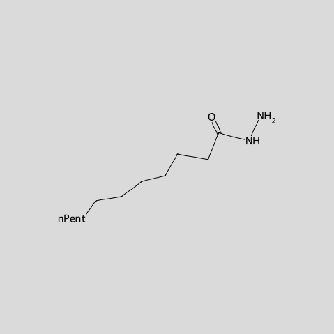 CCCCCCCCCCCC(=O)NN